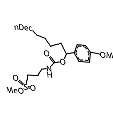 CCCCCCCCCCCCCCC(OC(=O)NCCCS(=O)(=O)OC)c1ccc(OC)cc1